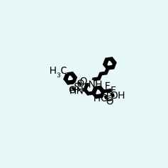 Cc1ccc(S(=O)(=O)NC(Cc2ccc(C(F)(F)P(=O)(O)O)cc2)C(=O)NCCCCc2ccccc2)cc1